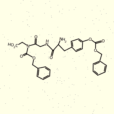 NC(Cc1ccc(OC(=O)OCc2ccccc2)cc1)C(=O)NCC(=O)N(CC(=O)O)C(=O)OCc1ccccc1